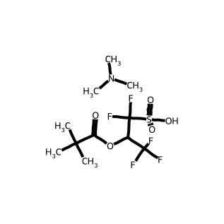 CC(C)(C)C(=O)OC(C(F)(F)F)C(F)(F)S(=O)(=O)O.CN(C)C